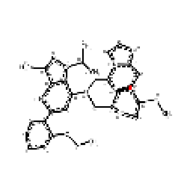 CCOc1ncccc1-c1cc(N(Cc2ccc(OC)cc2)Cc2nccc3nccn23)c2c(n1)c(C)nn2C(C)C